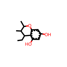 CCC1c2c(O)cc(O)cc2OC(C)C1C